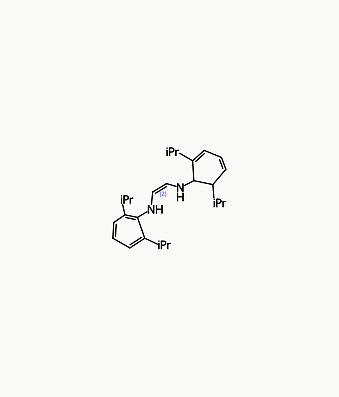 CC(C)C1=CC=CC(C(C)C)C1N/C=C\Nc1c(C(C)C)cccc1C(C)C